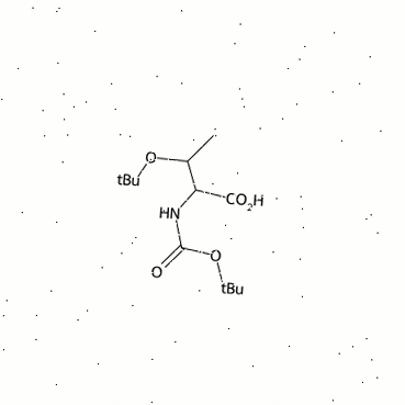 CC(OC(C)(C)C)C(NC(=O)OC(C)(C)C)C(=O)O